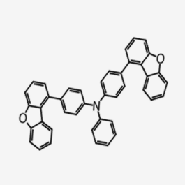 c1ccc(N(c2ccc(-c3cccc4oc5ccccc5c34)cc2)c2ccc(-c3cccc4oc5ccccc5c34)cc2)cc1